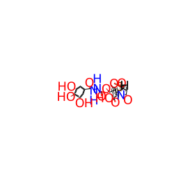 C[C@]1(COC(=O)NNC(=O)c2cc(O)c(O)c(O)c2)[C@H](C(=O)O)N2C(=O)C[C@H]2S1(=O)=O